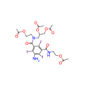 CC(=O)OCCNC(=O)c1c(I)c(N)c(I)c(C(=O)N(CCOC(C)=O)CC(COC(C)=O)OC(C)=O)c1I